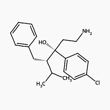 CC(C)[C@H](Cc1ccccc1)[C@@](O)(CCN)c1ccc(Cl)cc1